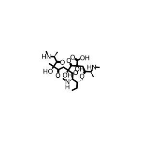 CC[C@@H](C)[C@H](NC)C(=O)C(O)(CC(=O)C(C)(O)C(=O)[C@H](C)NC)C(=O)C(O)(CC(=O)[C@H](C)NC)C(=O)O